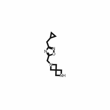 C1CC1Cc1noc(CN2CC3(CNC3)C2)n1